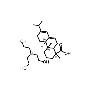 CC(C)C1=CC2=CCC3[C@](C)(C(=O)O)CCC[C@]3(C)[C@H]2CC1.OCCN(CCO)CCO